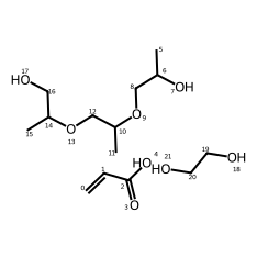 C=CC(=O)O.CC(O)COC(C)COC(C)CO.OCCO